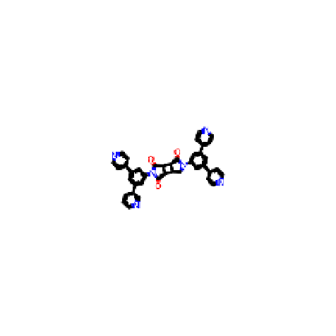 O=C1C2C(CN1c1cc(-c3ccncc3)cc(-c3ccncc3)c1)C1C(=O)N(c3cc(-c4ccncc4)cc(-c4cccnc4)c3)C(=O)C21